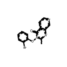 Cc1nc2cnccc2c(=O)n1Oc1ccccc1Br